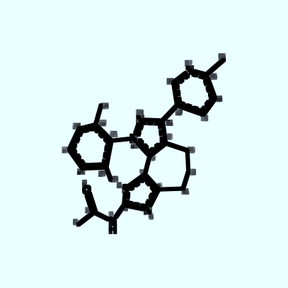 CC(=O)Nc1nc2c(s1)-c1c(c(-c3ccc(C)nc3)nn1-c1c(C)cccc1C)CCC2